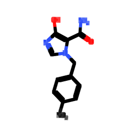 NC(=O)c1c(O)ncn1Cc1ccc([N+](=O)[O-])cc1